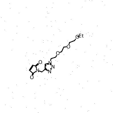 [CH2]COCCOCCOCCn1cc(CN2C(=O)C=CC2=O)nn1